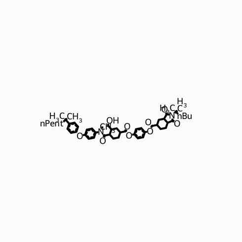 CCCCCC(C)(C)c1ccc(Oc2ccc(N(C)C(=O)C3CCC(C(=O)Oc4ccc(OC(=O)C5CCC6C(=O)N(C(C)(C)CCCC)C(=O)C6C5)cc4)CC3CO)cc2)cc1